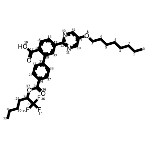 CCCCCCCCOc1cnc(-c2ccc(C(=O)O)c(-c3ccc(C(=O)OC(CCCC)C(F)(F)F)cc3)c2)nc1